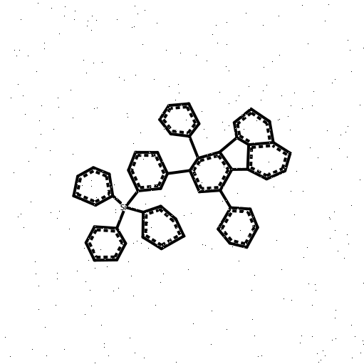 c1ccc(-c2cc(-c3cccc([Si](c4ccccc4)(c4ccccc4)c4ccccc4)c3)c(-c3ccccc3)c3c2-c2cccc4cccc-3c24)cc1